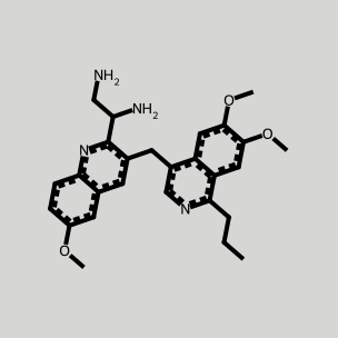 CCCc1ncc(Cc2cc3cc(OC)ccc3nc2C(N)CN)c2cc(OC)c(OC)cc12